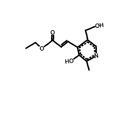 CCOC(=O)C=Cc1c(CO)cnc(C)c1O